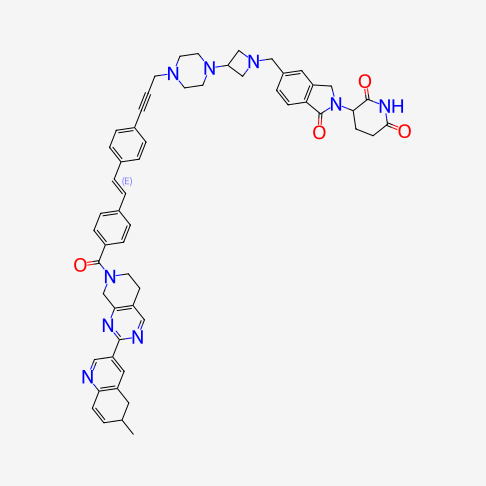 CC1C=Cc2ncc(-c3ncc4c(n3)CN(C(=O)c3ccc(/C=C/c5ccc(C#CCN6CCN(C7CN(Cc8ccc9c(c8)CN(C8CCC(=O)NC8=O)C9=O)C7)CC6)cc5)cc3)CC4)cc2C1